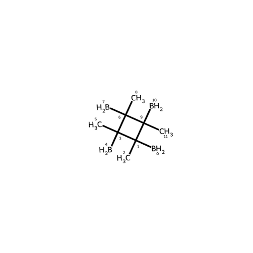 BC1(C)C(B)(C)C(B)(C)C1(B)C